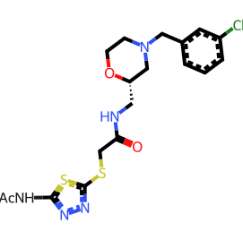 CC(=O)Nc1nnc(SCC(=O)NC[C@H]2CN(Cc3cccc(Cl)c3)CCO2)s1